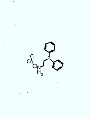 NCCP(c1ccccc1)c1ccccc1.[Cl][Co][Cl]